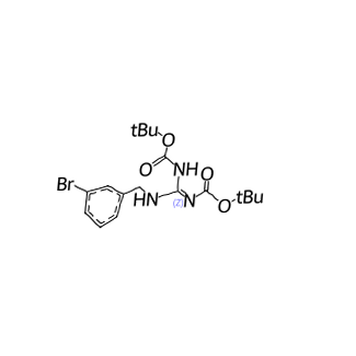 CC(C)(C)OC(=O)/N=C(/NCc1cccc(Br)c1)NC(=O)OC(C)(C)C